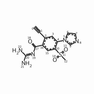 C#Cc1cc(-n2ccnc2)c(S(C)(=O)=O)cc1C(=O)N=C(N)N